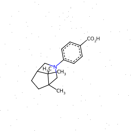 CC12CCC(CN(c3ccc(C(=O)O)cc3)C1)C2(C)C